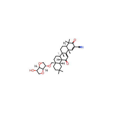 CC1(C)CC[C@]2(CO[C@@H]3CO[C@H]4[C@@H]3OC[C@H]4O)CC[C@]3(C)[C@H](C(=O)C=C4[C@@]5(C)C=C(C#N)C(=O)C(C)(C)[C@@H]5CC[C@]43C)[C@@H]2C1